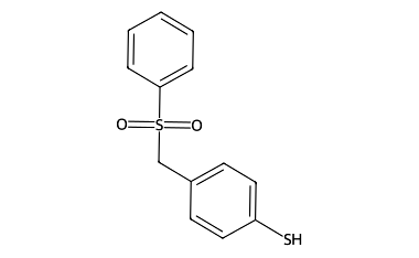 O=S(=O)(Cc1ccc(S)cc1)c1ccccc1